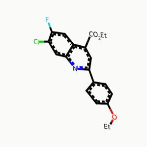 CCOC(=O)c1cc(-c2ccc(OCC)cc2)nc2cc(Cl)c(F)cc12